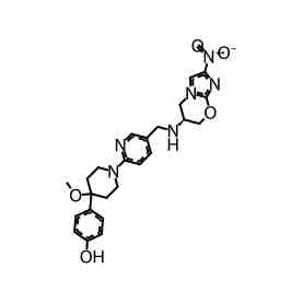 COC1(c2ccc(O)cc2)CCN(c2ccc(CN[C@@H]3COc4nc([N+](=O)[O-])cn4C3)cn2)CC1